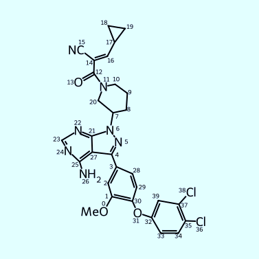 COc1cc(-c2nn(C3CCCN(C(=O)C(C#N)=CC4CC4)C3)c3ncnc(N)c23)ccc1Oc1ccc(Cl)c(Cl)c1